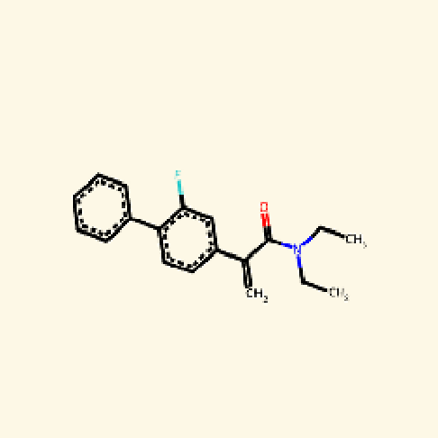 C=C(C(=O)N(CC)CC)c1ccc(-c2ccccc2)c(F)c1